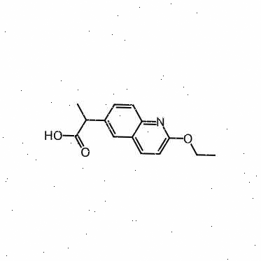 CCOc1ccc2cc(C(C)C(=O)O)ccc2n1